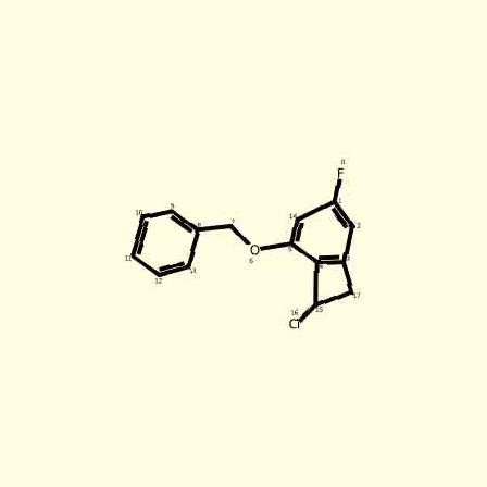 Fc1cc2c(c(OCc3ccccc3)c1)C(Cl)C2